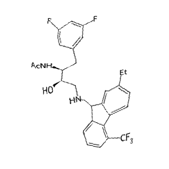 CCc1ccc2c(c1)C(NC[C@@H](O)[C@H](Cc1cc(F)cc(F)c1)NC(C)=O)c1cccc(C(F)(F)F)c1-2